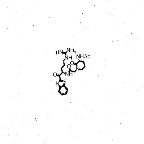 CC(=O)N[C@H]1CCCN(CC(=O)NC(CCCNC(=N)N)C(=O)c2nc3ccccc3s2)C1=O